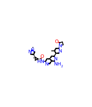 Cc1cc(N2CCC2=O)ncc1-c1cc2cc(NC(=O)[C@@H]3C[C@H]3c3cnn(C)c3)ncc2c(N)n1